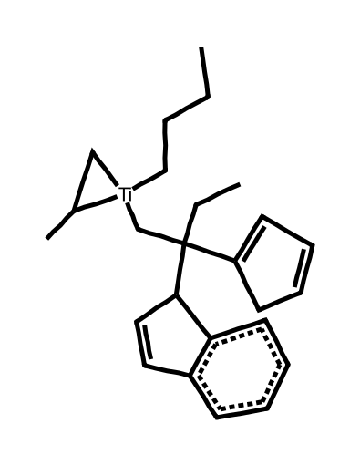 CCC[CH2][Ti]1([CH2]C(CC)(C2=CC=CC2)C2C=Cc3ccccc32)[CH2][CH]1C